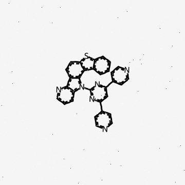 c1ccc2c(c1)sc1ccc3c4ncccc4n(-c4nc(-c5ccncc5)cc(-c5ccncc5)n4)c3c12